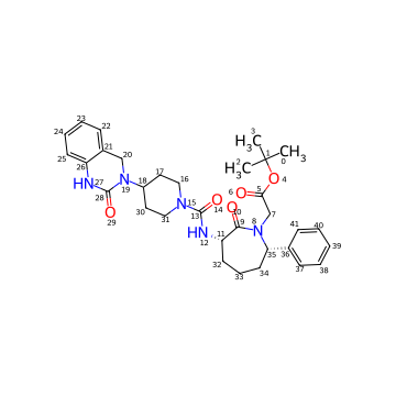 CC(C)(C)OC(=O)CN1C(=O)[C@@H](NC(=O)N2CCC(N3Cc4ccccc4NC3=O)CC2)CCC[C@H]1c1ccccc1